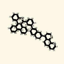 C1=C(c2ccnc3c2ccc2cccnc23)CCc2ccc(-c3cccc(-c4nc5ccccc5c5c6ccccc6c6ccccc6c45)c3)cc21